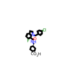 O=C(NC[C@H]1CC[C@H](C(=O)O)CC1)c1c(F)ccc2ccn(Cc3ccc(Cl)cc3)c12